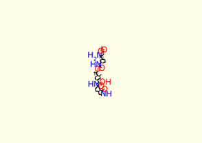 Cc1cc(C(Nc2ccc3cc[nH]c(=O)c3c2)C(=O)O)ccc1[C@@H](C)COC(=O)Nc1cccc([C@H](N)CC2OC(C)O2)c1